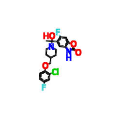 CC(O)(c1cc2[nH]c(=O)oc2cc1F)N1CCC(COc2ccc(F)cc2Cl)CC1